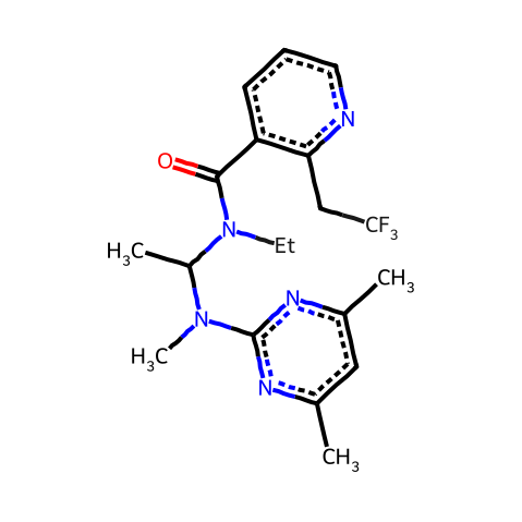 CCN(C(=O)c1cccnc1CC(F)(F)F)C(C)N(C)c1nc(C)cc(C)n1